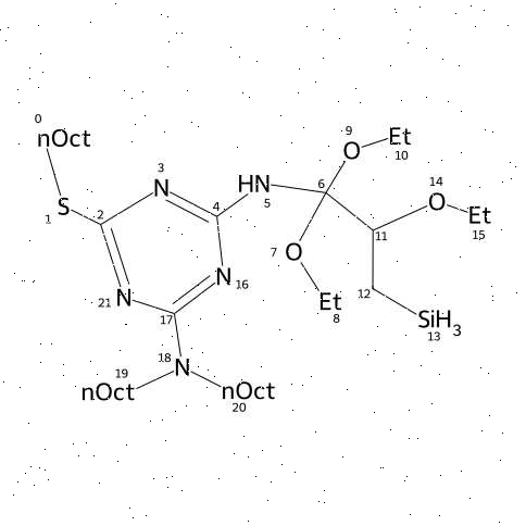 CCCCCCCCSc1nc(NC(OCC)(OCC)C(C[SiH3])OCC)nc(N(CCCCCCCC)CCCCCCCC)n1